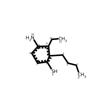 CCCCc1c(S)ccc(N)c1CC